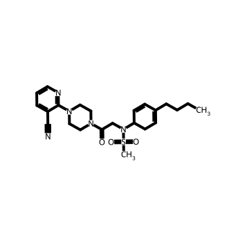 CCCCC1=CCC(N(CC(=O)N2CCN(c3ncccc3C#N)CC2)S(C)(=O)=O)C=C1